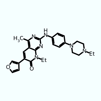 CCN1CCN(c2ccc(Nc3nc(C)c4cc(-c5ccoc5)c(=O)n(CC)c4n3)cc2)CC1